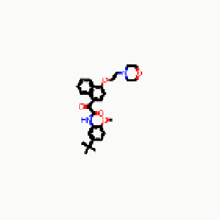 COc1ccc(C(C)(C)C)cc1NC(=O)C(=O)c1ccc(OCCN2CCOCC2)c2ccccc12